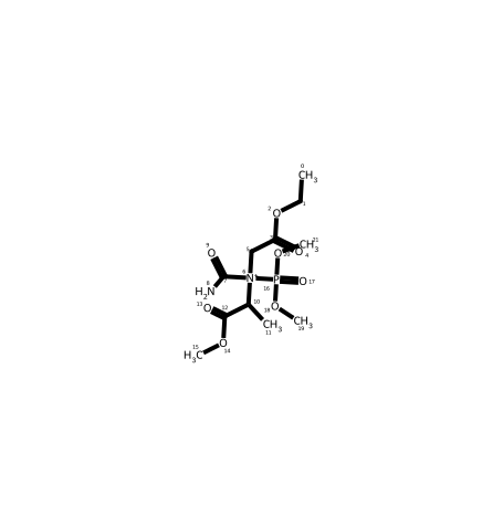 CCOC(=O)C[N+](C(N)=O)(C(C)C(=O)OC)P(=O)(OC)OC